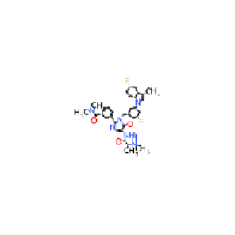 CNC(C)C(=O)Nc1cnc(-c2cccc(C(=O)N(C)C)c2)n(Cc2cc(F)cc(-n3cc(C)c4cc(F)ccc43)c2)c1=O